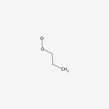 C[CH]CO[O]